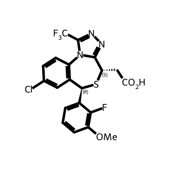 COc1cccc([C@@H]2S[C@@H](CC(=O)O)c3nnc(C(F)(F)F)n3-c3ccc(Cl)cc32)c1F